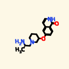 C[C@H](N)CN1CCCC(Oc2ccc3c(=O)[nH]ccc3c2)C1